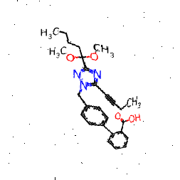 CCC#Cc1nc(C(CCCC)(OC)OC)nn1Cc1ccc(-c2ccccc2C(=O)O)cc1